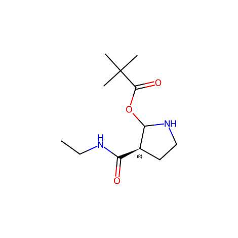 CCNC(=O)[C@@H]1CCNC1OC(=O)C(C)(C)C